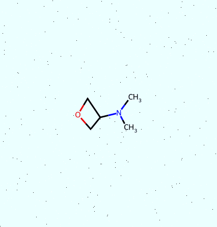 CN(C)[C]1COC1